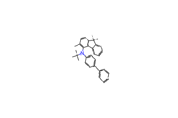 Cc1ccc2c(c1N(c1ccc(-c3ccccc3)cc1)C(C)(C)C)-c1ccccc1C2(C)C